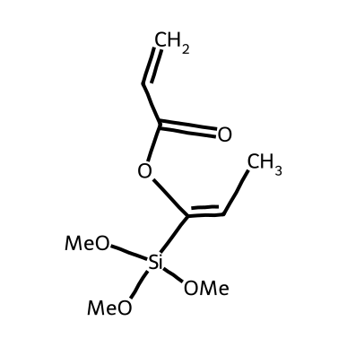 C=CC(=O)OC(=CC)[Si](OC)(OC)OC